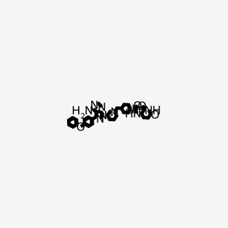 Nc1ncnc2c1c(-c1ccc(Oc3ccccc3)cc1)nn2[C@@H]1CCCN(CC2CCN(C(=O)NC3CCC(=O)NC3=O)CC2)C1